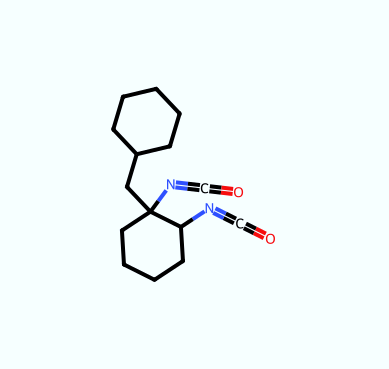 O=C=NC1CCCCC1(CC1CCCCC1)N=C=O